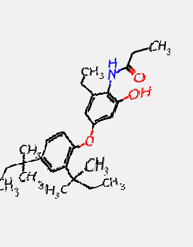 CCC(=O)Nc1c(O)cc(Oc2ccc(C(C)(C)CC)cc2C(C)(C)CC)cc1CC